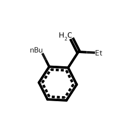 C=C(CC)c1ccccc1CCCC